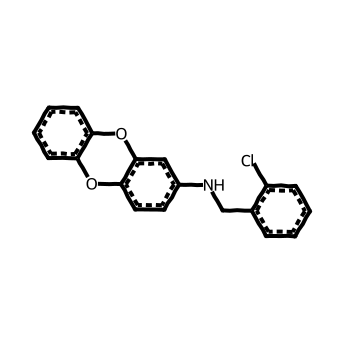 Clc1ccccc1CNc1ccc2c(c1)Oc1ccccc1O2